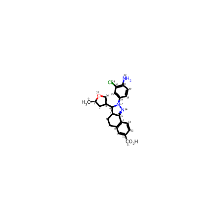 C[C@@H]1CC(C2C3CCc4cc(C(=O)O)ccc4C3=NN2c2ccc(N)c(Cl)c2)CO1